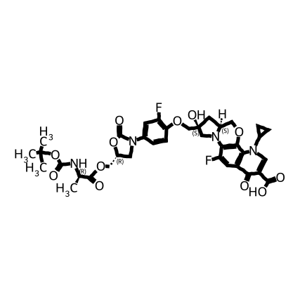 C[C@@H](NC(=O)OC(C)(C)C)C(=O)OC[C@H]1CN(c2ccc(OC[C@]3(O)C[C@H]4COc5c(c(F)cc6c(=O)c(C(=O)O)cn(C7CC7)c56)N4C3)c(F)c2)C(=O)O1